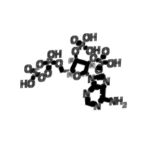 Nc1ncnc2c1ncn2[C@@H]1O[C@H](COP(=O)(O)OS(=O)(=O)O)[C@@H](OP(=O)(O)O)[C@H]1OS(=O)(=O)O